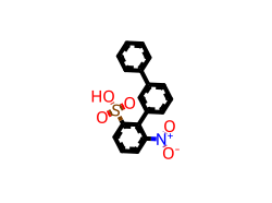 O=[N+]([O-])c1cccc(S(=O)(=O)O)c1-c1cccc(-c2ccccc2)c1